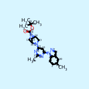 Cc1ccc2c(cnn2-c2cc(N3CC4CC3CN4C(=O)OC(C)(C)C)nc(C)n2)c1